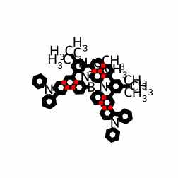 CC(C)(C)c1cc(-c2ccccc2)c(N2c3cc(-c4ccc5c(c4)c4ccccc4n5-c4ccccc4)ccc3B3c4ccc(-c5ccc6c(c5)c5ccccc5n6-c5ccccc5)cc4N(c4c(-c5ccccc5)cc(C(C)(C)C)cc4-c4ccccc4)c4cc(C(C)(C)C)cc2c43)c(-c2ccccc2)c1